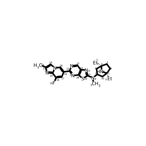 CC[C@]12CC[C@](CC)(CC(N(C)c3nc4cnc(-c5cc(F)c6nc(C)cn6c5)nc4s3)C1)N2